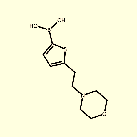 OB(O)c1ccc(CCN2CCOCC2)s1